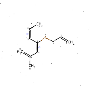 C=CCSC(/C=C\C)=C/C(=C)C